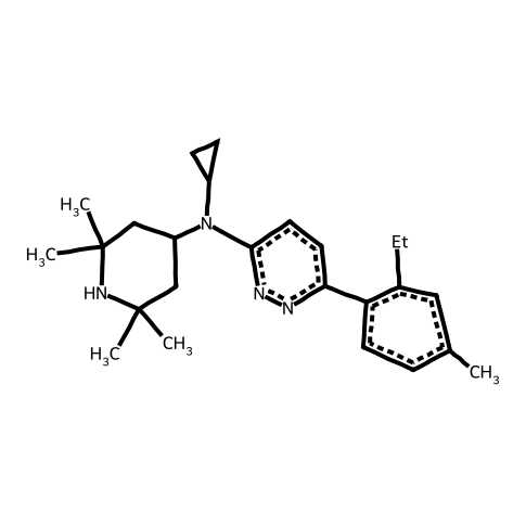 CCc1cc(C)ccc1-c1ccc(N(C2CC2)C2CC(C)(C)NC(C)(C)C2)nn1